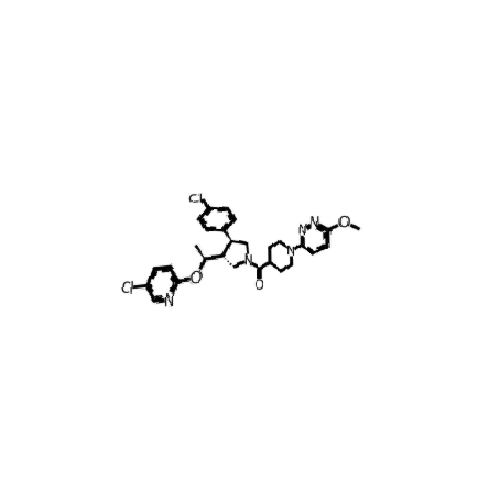 COc1ccc(N2CCC(C(=O)N3C[C@H]([C@H](C)Oc4ccc(Cl)cn4)[C@@H](c4ccc(Cl)cc4)C3)CC2)nn1